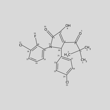 CC(C)(C)C(=O)C1=C(O)C(=O)N(c2cccc(Cl)c2F)C1c1ccc(Cl)cc1